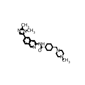 Cc1ncc(-c2ccc3cnc(NC(=O)[C@H]4CC[C@H](CN5CCN(C)CC5)CC4)cc3c2)n1C